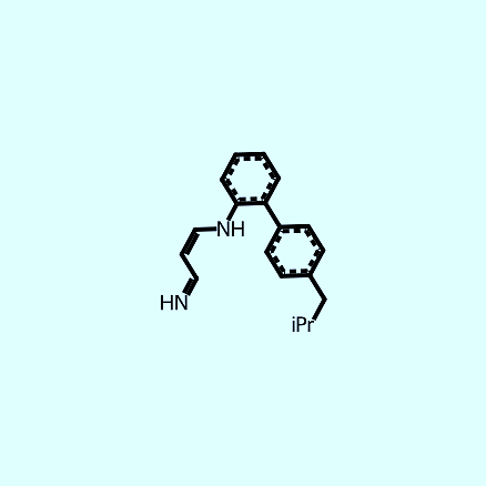 CC(C)Cc1ccc(-c2ccccc2N/C=C\C=N)cc1